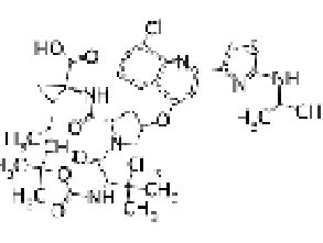 CC[C@@H]1C[C@]1(NC(=O)[C@@H]1C[C@@H](Oc2cc(-c3csc(NC(C)C)n3)nc3c(Cl)cccc23)CN1C(=O)[C@@H](NC(=O)OC(C)(C)C)C(C)(C)C)C(=O)O